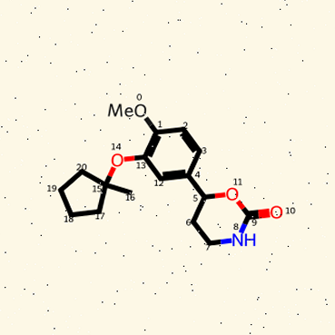 COc1ccc(C2CCNC(=O)O2)cc1OC1(C)CCCC1